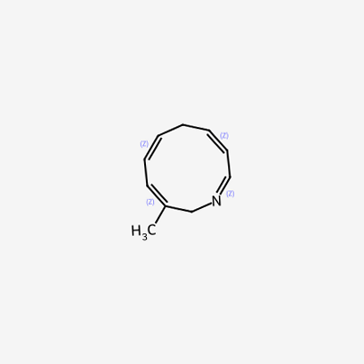 C/C1=C/C=C\C/C=C\C=N/C1